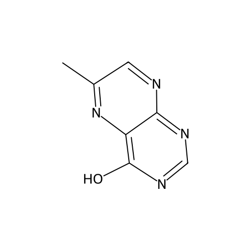 Cc1cnc2ncnc(O)c2n1